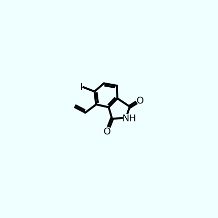 C=Cc1c(I)ccc2c1C(=O)NC2=O